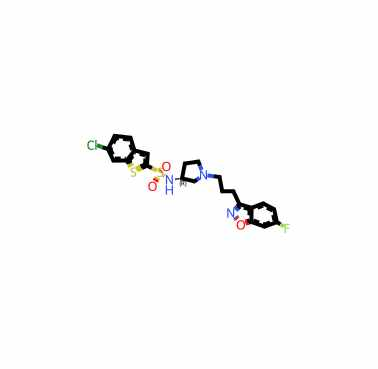 O=S(=O)(N[C@@H]1CCN(CCCc2noc3cc(F)ccc23)C1)c1cc2ccc(Cl)cc2s1